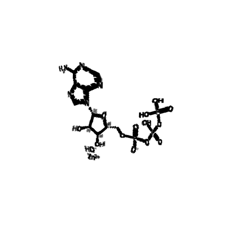 Nc1ncnc2c1ncn2[C@@H]1O[C@H](COP(=O)([O-])OP(=O)(O)OP(=O)(O)O)[C@@H](O)[C@H]1O.[OH-].[Zn+2]